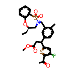 CC[C@@H]1CN(Cc2cc(C(CC(=O)OC)c3cc(F)c(C(C)=O)s3)ccc2C)S(=O)(=O)c2ccccc2O1